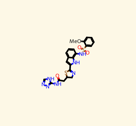 COc1ccccc1S(=O)(=O)Nc1cccc2cc(C3=NCC(CC(=O)Nc4nnc[nH]4)S3)[nH]c12